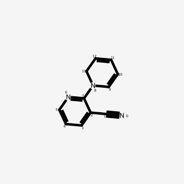 N#Cc1cccnc1N1C=CC=CC1